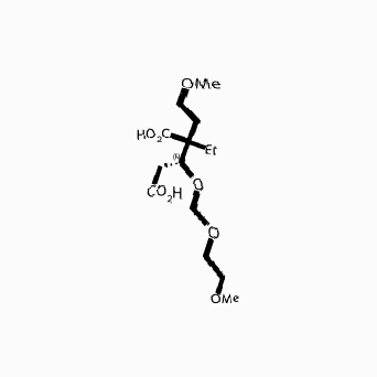 CCC(CCOC)(C(=O)O)[C@@H](CC(=O)O)OCOCCOC